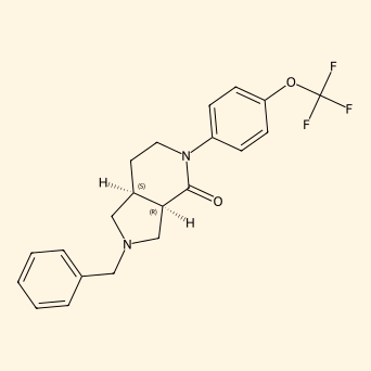 O=C1[C@H]2CN(Cc3ccccc3)C[C@H]2CCN1c1ccc(OC(F)(F)F)cc1